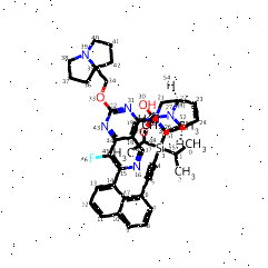 CC(C)[Si](C#Cc1cccc2cccc(-c3ncc4c(N5C[C@H]6C=C[C@@H](C5)N6C(=O)O)nc(OCC56CCCN5CCC6)nc4c3F)c12)(C(C)C)C(C)C